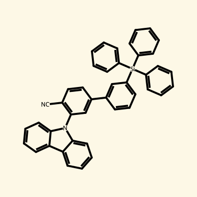 N#Cc1ccc(-c2cccc([Si](c3ccccc3)(c3ccccc3)c3ccccc3)c2)cc1-n1c2ccccc2c2ccccc21